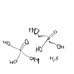 O=P(O)(O)O.O=P(O)(O)O.S